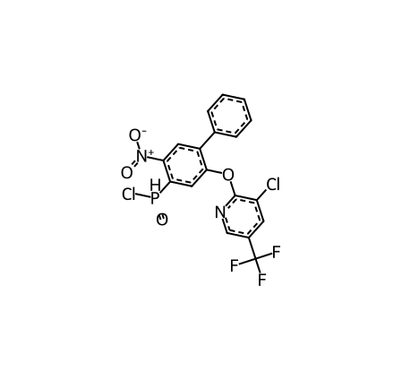 O=[N+]([O-])c1cc(-c2ccccc2)c(Oc2ncc(C(F)(F)F)cc2Cl)cc1[PH](=O)Cl